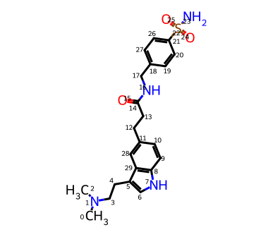 CN(C)CCc1c[nH]c2ccc(CCC(=O)NCc3ccc(S(N)(=O)=O)cc3)cc12